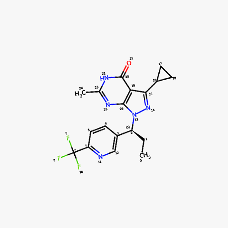 CC[C@@H](c1ccc(C(F)(F)F)nc1)n1nc(C2CC2)c2c(=O)[nH]c(C)nc21